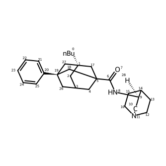 CCCC[C@@]12CC3CC(C(=O)N[C@@H]4CN5CCC4CC5)(C1)C[C@](c1ccccc1)(C3)C2